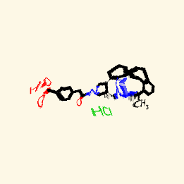 C[C@@H](NC[C@@H]1CN(C(=O)Cc2ccc(C(=O)O)cc2)C[C@@H]1c1ccccc1)c1cccc2ccccc12.Cl